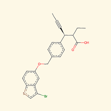 CC#C[C@H](c1ccc(COc2ccc3scc(Br)c3c2)cc1)C(CC)C(=O)O